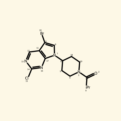 CC(C)C(=O)N1CCC(n2cc(Br)c3cnc(Cl)nc32)CC1